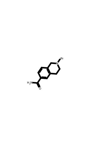 CC(C)N1CCc2cc(C(N)=O)ccc2C1